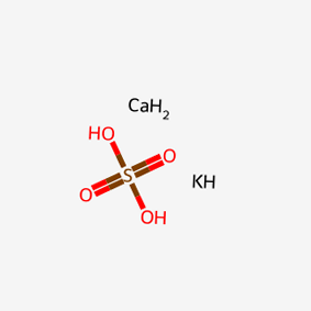 O=S(=O)(O)O.[CaH2].[KH]